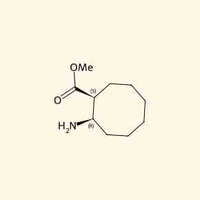 COC(=O)[C@H]1CCCCCC[C@H]1N